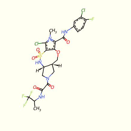 CC(NC(=O)C(=O)N1C[C@H]2COc3c(c(Cl)n(C)c3C(=O)Nc3ccc(F)c(Cl)c3)S(=O)(=O)N[C@H]2C1)C(F)(F)F